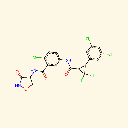 O=C(NC1CONC1=O)c1cc(NC(=O)C2C(c3cc(Cl)cc(Cl)c3)C2(Cl)Cl)ccc1Cl